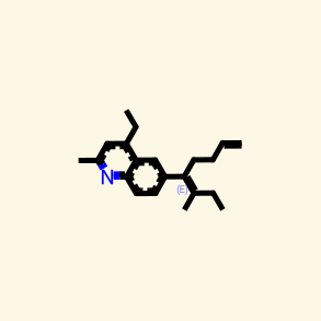 C=CCC/C(=C(/C)CC)c1ccc2nc(C)cc(CC)c2c1